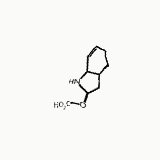 O=C(O)OC1CC2CCC=CC2N1